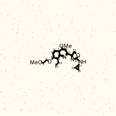 COCCOc1ccc2c(OC)cc(-c3coc(NC4CC4)n3)nc2c1CI